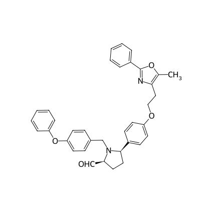 Cc1oc(-c2ccccc2)nc1CCOc1ccc([C@H]2CC[C@@H](C=O)N2Cc2ccc(Oc3ccccc3)cc2)cc1